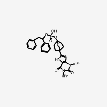 CCCn1c(=O)c2[nH]c(C34CCC(OP(=O)(O)OC(Cc5ccccc5)c5ccccc5)(CC3)CC4)nc2n(CCC)c1=O